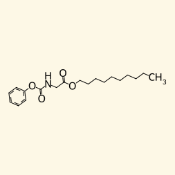 CCCCCCCCCCOC(=O)CNC(=O)Oc1ccccc1